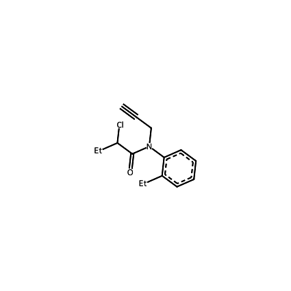 C#CCN(C(=O)C(Cl)CC)c1ccccc1CC